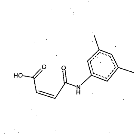 Cc1cc(C)cc(NC(=O)/C=C\C(=O)O)c1